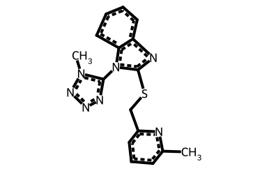 Cc1cccc(CSc2nc3ccccc3n2-c2nnnn2C)n1